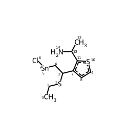 CCSC([CH2][Sn][Cl])c1ccsc1C(C)N